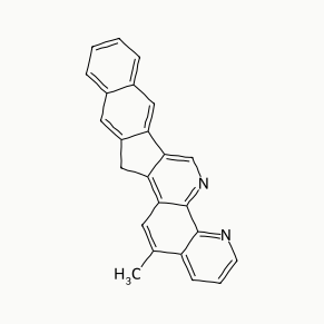 Cc1cc2c3c(cnc2c2ncccc12)-c1cc2ccccc2cc1C3